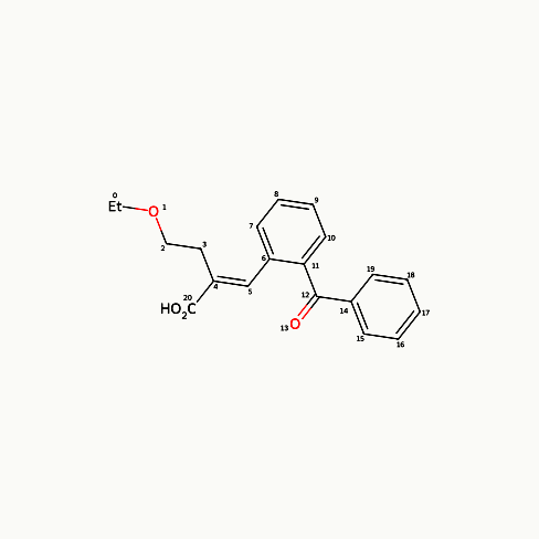 CCOCCC(=Cc1ccccc1C(=O)c1ccccc1)C(=O)O